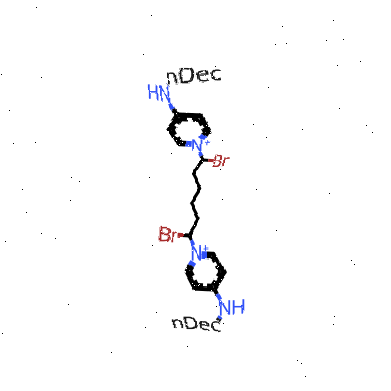 CCCCCCCCCCNc1cc[n+](C(Br)CCCCC(Br)[n+]2ccc(NCCCCCCCCCC)cc2)cc1